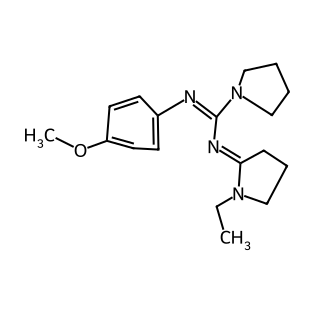 CCN1CCCC1=NC(=Nc1ccc(OC)cc1)N1CCCC1